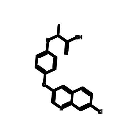 CC(Oc1ccc(Oc2cnc3cc(Cl)ccc3c2)cc1)C(=O)O